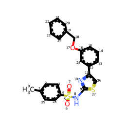 Cc1ccc(S(=O)(=O)Nc2nc(-c3cccc(OCc4ccccc4)c3)cs2)cc1